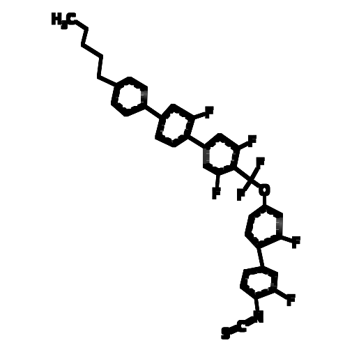 CCCCCc1ccc(-c2ccc(-c3cc(F)c(C(F)(F)Oc4ccc(-c5ccc(N=C=S)c(F)c5)c(F)c4)c(F)c3)c(F)c2)cc1